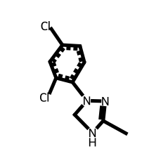 CC1=NN(c2ccc(Cl)cc2Cl)CN1